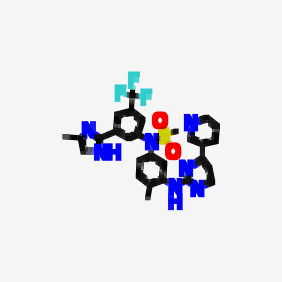 Cc1c[nH]c(-c2cc(N(c3ccc(C)c(Nc4nccc(-c5cccnc5)n4)c3)S(C)(=O)=O)cc(C(F)(F)F)c2)n1